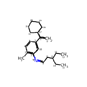 C=C(c1ccc(C)c(/N=C\CC(CC)CC)c1)C1CCCCC1